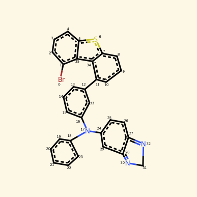 Brc1cccc2sc3cccc(-c4cccc(N(c5ccccc5)c5ccc6c(c5)=NCN=6)c4)c3c12